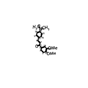 COc1ccc(C(=O)C=Cc2ccc(N(C)C)cc2)cc1OC